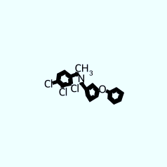 CC(N=Cc1cccc(Oc2ccccc2)c1)c1ccc(Cl)c(Cl)c1Cl